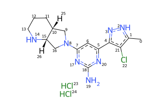 Cc1[nH]nc(-c2cc(N3C[C@H]4CCCN[C@H]4C3)nc(N)n2)c1Cl.Cl.Cl